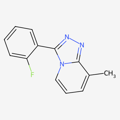 Cc1cccn2c(-c3ccccc3F)nnc12